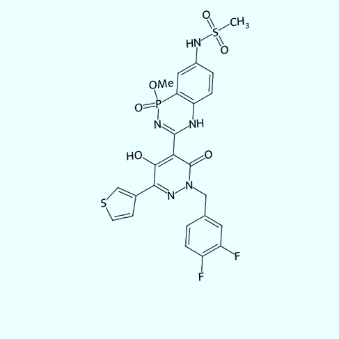 COP1(=O)N=C(c2c(O)c(-c3ccsc3)nn(Cc3ccc(F)c(F)c3)c2=O)Nc2ccc(NS(C)(=O)=O)cc21